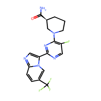 NC(=O)[C@H]1CCCN(c2nc(-c3cnc4ccc(C(F)(F)F)cn34)ncc2F)C1